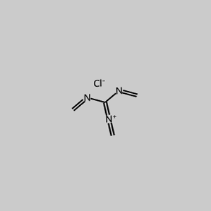 C=NC(N=C)=[N+]=C.[Cl-]